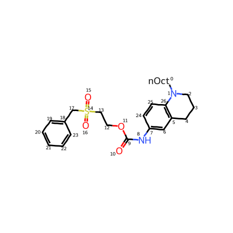 CCCCCCCCN1CCCc2cc(NC(=O)OCCS(=O)(=O)Cc3ccccc3)ccc21